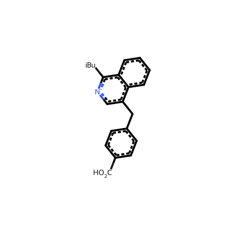 CCC(C)c1ncc(Cc2ccc(C(=O)O)cc2)c2ccccc12